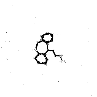 CNCCC1c2ccccc2COc2ccccc21